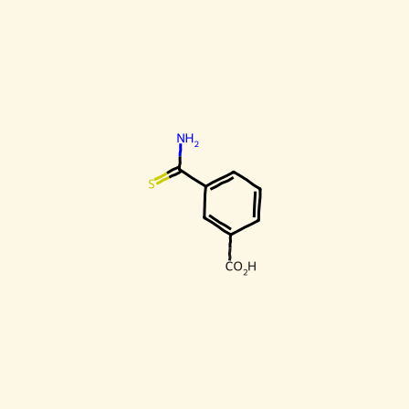 NC(=S)c1cccc(C(=O)O)c1